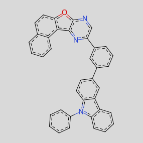 c1ccc(-n2c3ccccc3c3cc(-c4cccc(-c5cnc6oc7ccc8ccccc8c7c6n5)c4)ccc32)cc1